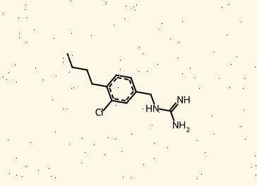 CCCCc1ccc(CNC(=N)N)cc1Cl